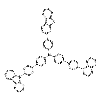 c1ccc2c(-c3ccc(-c4ccc(N(c5ccc(-c6ccc(-n7c8ccccc8c8ccccc87)cc6)cc5)c5ccc(-c6ccc7c(c6)sc6ccccc67)cc5)cc4)cc3)cccc2c1